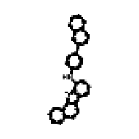 c1ccc2cc(-c3ccc(Nc4cccc5c4oc4c6ccccc6ccc54)cc3)ccc2c1